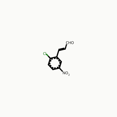 O=C/C=C/c1cc([N+](=O)[O-])ccc1Cl